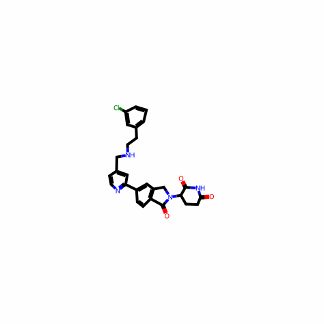 O=C1CCC(N2Cc3cc(-c4cc(CNCCc5cccc(Cl)c5)ccn4)ccc3C2=O)C(=O)N1